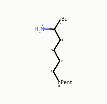 CCCCCCCCCC(N)C(C)CC